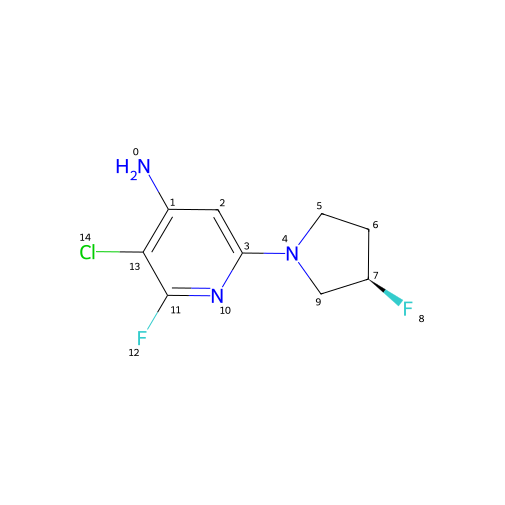 Nc1cc(N2CC[C@@H](F)C2)nc(F)c1Cl